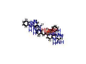 CNC1=C(NC2=CC(S(=O)(=O)O)(S(=O)(=O)O)C(C=Cc3ccc(NC4=C(NC)C=NNN4Nc4ccccc4)cc3)C=C2)N(Nc2ccccc2)NN=C1